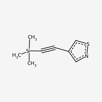 C[Si](C)(C)C#Cc1cnsc1